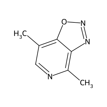 Cc1ncc(C)c2onnc12